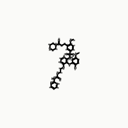 COc1ccc(Cl)c(Oc2c(NS(=O)(=O)c3ccc(OC)c(CCC(=O)N4CCOCC4)c3)ncnc2OCCOC(=O)Nc2ncccn2)c1